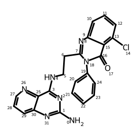 Nc1nc(NCCc2nc3cccc(Cl)c3c(=O)n2-c2ccccc2)c2ncccc2n1